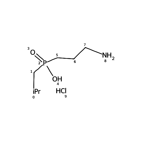 CC(C)CP(=O)(O)CCCN.Cl